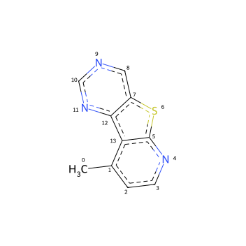 Cc1ccnc2sc3cncnc3c12